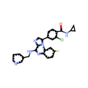 O=C(NC1CC1)c1ccc(-c2cnc3c(NCc4cccnc4)nc4ccc(F)cc4n23)cc1Cl